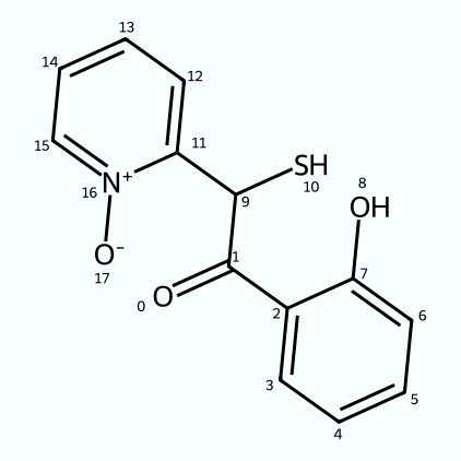 O=C(c1ccccc1O)C(S)c1cccc[n+]1[O-]